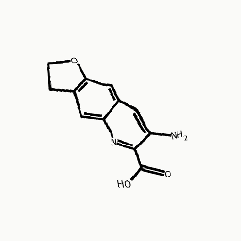 Nc1cc2cc3c(cc2nc1C(=O)O)CCO3